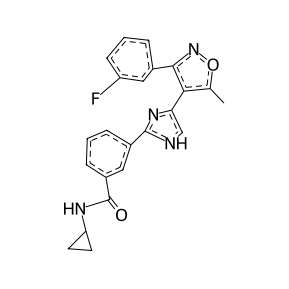 Cc1onc(-c2cccc(F)c2)c1-c1c[nH]c(-c2cccc(C(=O)NC3CC3)c2)n1